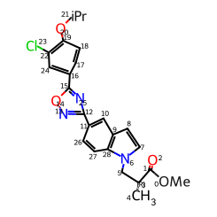 COC(=O)[C@H](C)Cn1ccc2cc(-c3noc(-c4ccc(OC(C)C)c(Cl)c4)n3)ccc21